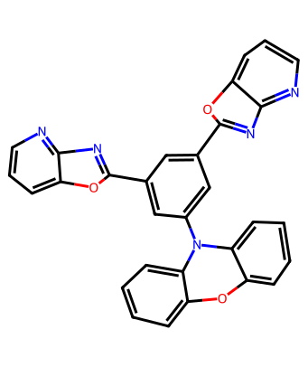 c1ccc2c(c1)Oc1ccccc1N2c1cc(-c2nc3ncccc3o2)cc(-c2nc3ncccc3o2)c1